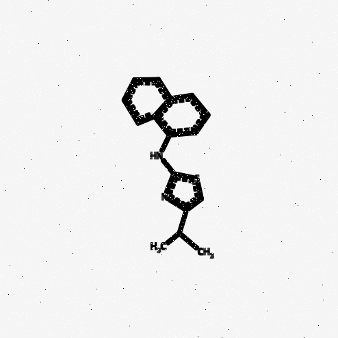 CC(C)c1csc(Nc2cccc3ccccc23)n1